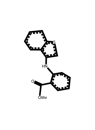 COC(=O)c1ccccc1Nc1csc2ccccc12